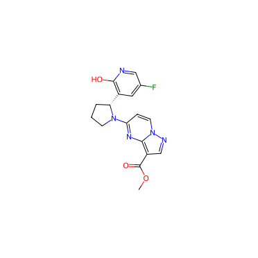 COC(=O)c1cnn2ccc(N3CCC[C@@H]3c3cc(F)cnc3O)nc12